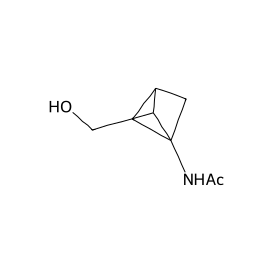 CC(=O)NC12CC(C1)C2CO